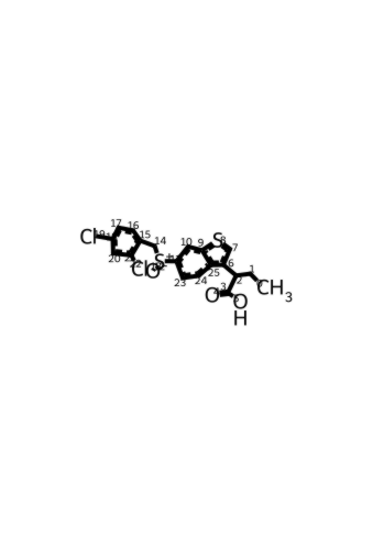 CCC(C(=O)O)c1csc2cc([S+]([O-])Cc3ccc(Cl)cc3Cl)ccc12